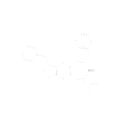 CC(=O)N(C(=O)O)[C@@H]1Cc2cc3cnn(Cc4ccccc4)c3cc2CN(Cc2ccccc2)C1=O